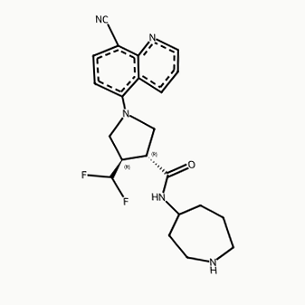 N#Cc1ccc(N2C[C@H](C(=O)NC3CCCNCC3)[C@@H](C(F)F)C2)c2cccnc12